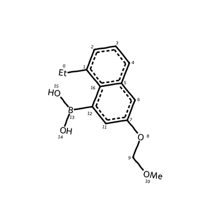 CCc1cccc2cc(OCOC)cc(B(O)O)c12